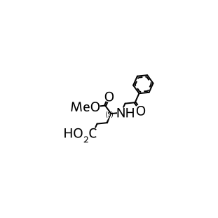 COC(=O)[C@H](CCC(=O)O)NCC(=O)c1ccccc1